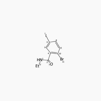 CCNC(=O)c1cc(I)ccc1Br